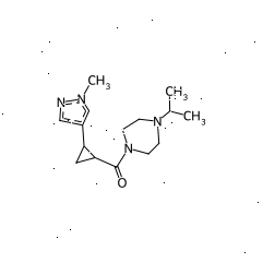 CC(C)N1CCN(C(=O)C2CC2c2cnn(C)c2)CC1